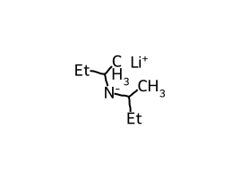 CCC(C)[N-]C(C)CC.[Li+]